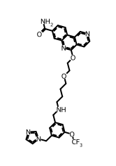 NC(=O)c1ccc2c(c1)nc(OCCOCCCCNCc1cc(Cn3ccnc3)cc(OC(F)(F)F)c1)c1ccncc12